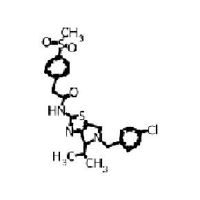 CC(C)C1c2nc(NC(=O)Cc3ccc(S(C)(=O)=O)cc3)sc2CN1Cc1ccc(Cl)cc1